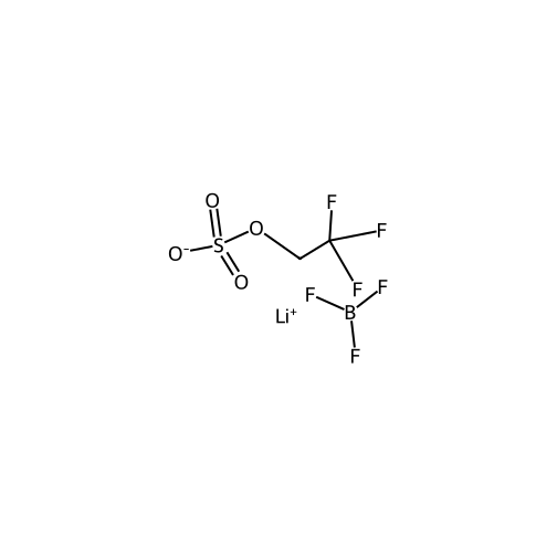 FB(F)F.O=S(=O)([O-])OCC(F)(F)F.[Li+]